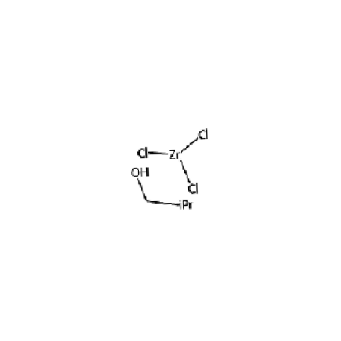 CC(C)CO.[Cl][Zr]([Cl])[Cl]